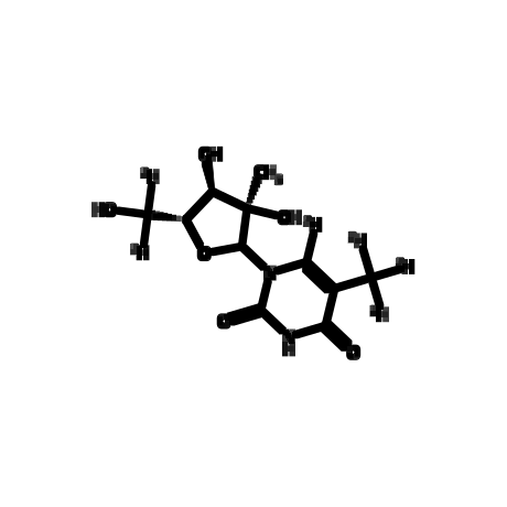 [2H]c1c(C([2H])([2H])[2H])c(=O)[nH]c(=O)n1C1O[C@H](C([2H])([2H])O)[C@@H](O)[C@@]1(C)O